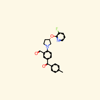 Cc1ccc(C(=O)c2ccc(N3CC[C@H](Oc4ncccc4F)C3)c(C=O)c2)cc1